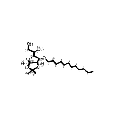 CCCCCCCCCCCCO[C@@H]1[C@H]2OC(C)(C)O[C@H]2O[C@@H]1[C@H](O)CO